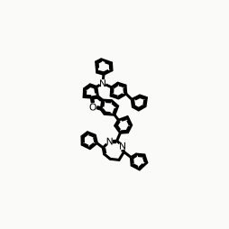 C1=C(c2ccccc2)/N=C(c2cccc(-c3ccc4c(c3)oc3cccc(N(c5ccccc5)c5ccc(-c6ccccc6)cc5)c34)c2)\N=C(\c2ccccc2)CC\1